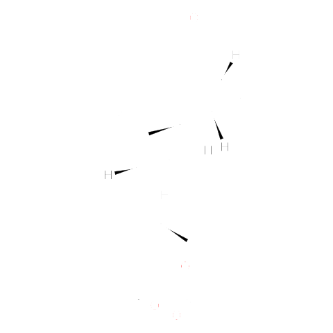 C=C1C[C@@H]2[C@H](CC[C@@]3(C)[C@H]2CC[C@]3(OC(C)=O)C(C)=O)[C@]2(C)C1=CC(=O)[C@@H]1C[C@@H]12